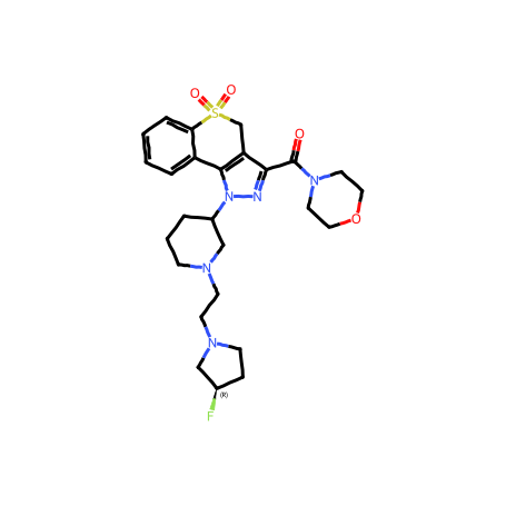 O=C(c1nn(C2CCCN(CCN3CC[C@@H](F)C3)C2)c2c1CS(=O)(=O)c1ccccc1-2)N1CCOCC1